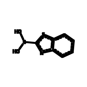 OB(O)c1nc2ccccc2s1